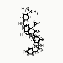 CN(C)C1CCC(Nc2ncc3c(n2)N(C2CC2)C(=O)N(c2ccc(NS(=O)(=O)Cc4ccc(F)cc4)c(F)c2)C3(C)C)CC1